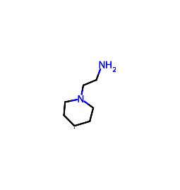 NCCN1CC[CH]CC1